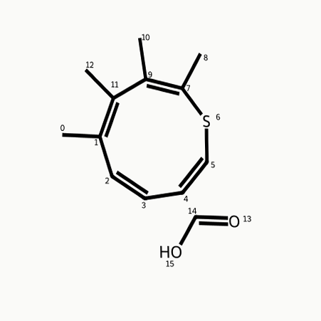 Cc1ccccsc(C)c(C)c1C.O=CO